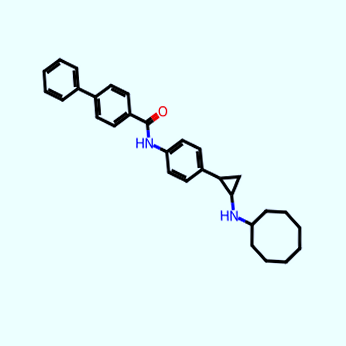 O=C(Nc1ccc(C2CC2NC2CCCCCCC2)cc1)c1ccc(-c2ccccc2)cc1